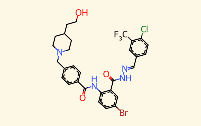 O=C(Nc1ccc(Br)cc1C(=O)N/N=C/c1ccc(Cl)c(C(F)(F)F)c1)c1ccc(CN2CCC(CCO)CC2)cc1